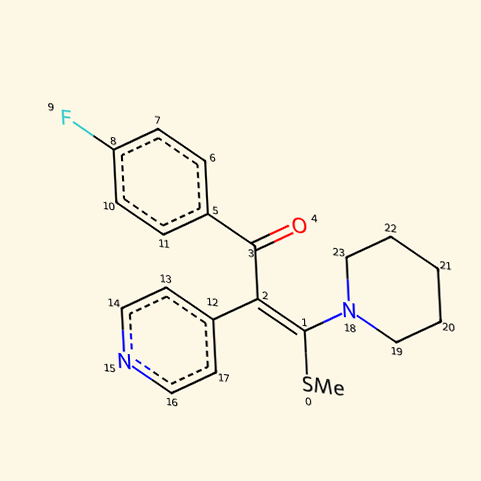 CS/C(=C(/C(=O)c1ccc(F)cc1)c1ccncc1)N1CCCCC1